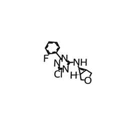 Fc1ccccc1-c1nc(Cl)nc(NC2=C3COC[C@H]32)n1